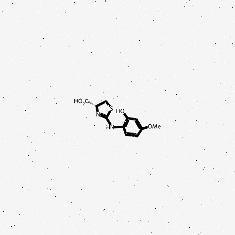 COc1ccc(NC2=N[C@H](C(=O)O)CS2)c(O)c1